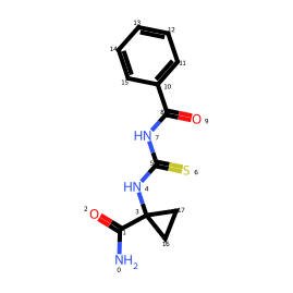 NC(=O)C1(NC(=S)NC(=O)c2ccccc2)CC1